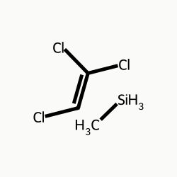 C[SiH3].ClC=C(Cl)Cl